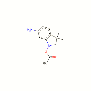 CC(C)(C)C(=O)ON1CC(C)(C)c2ccc(N)cc21